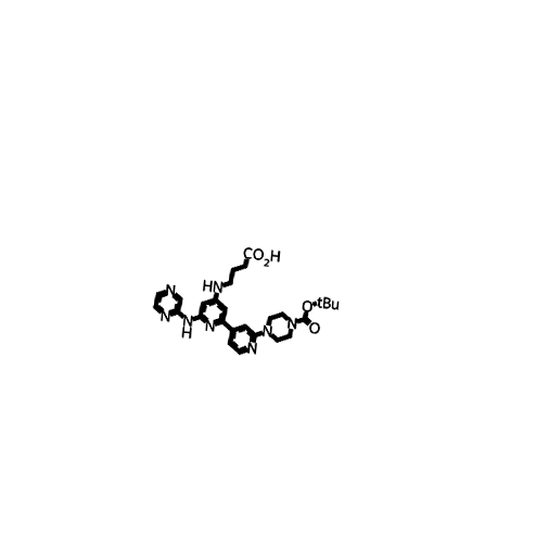 CC(C)(C)OC(=O)N1CCN(c2cc(-c3cc(NCCCC(=O)O)cc(Nc4cnccn4)n3)ccn2)CC1